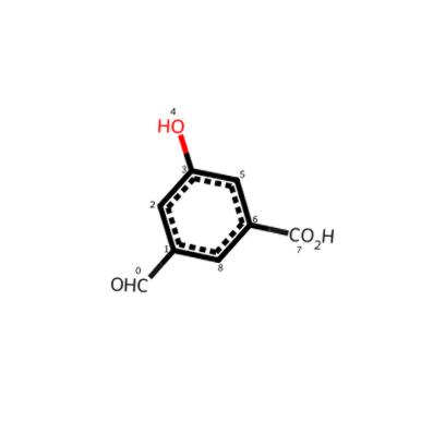 O=Cc1cc(O)cc(C(=O)O)c1